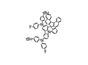 CC(C)(C)c1ccc(N(c2ccc(F)cc2)c2ccc3c(c2)c2cc(N(c4ccc(F)cc4)c4ccc(C(C)(C)C)cc4)cc4c2n3-c2ccccc2C42c3ccc4ccccc4c3-c3c2ccc2ccccc32)cc1